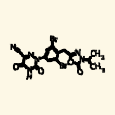 CC(C)n1nc(Cc2c(Br)cc(-n3nc(C#N)c(=O)[nH]c3=O)cc2Br)oc1=O